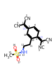 [C-]#[N+]/C(C#N)=c1/cc/c(=C(\C#N)[N+]#[C-])c(CCNS(C)(=O)=O)c1